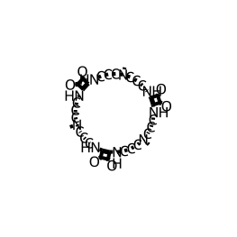 CN1CCCNc2c(c(=O)c2=O)NCCCN(C)CCCNc2c(c(=O)c2=O)NCCCN(C)CCCNc2c(c(=O)c2=O)NCCC1